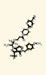 [2H]C([2H])(OCCC(=O)N1CCN(c2ncc(C#N)cn2)CC1)C(C)n1nc(C(F)(F)F)c2c(=O)n(Cc3ccc(OC)cc3)ncc21